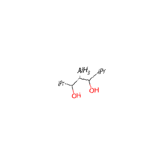 CC(C)C(O)[CH]C(O)C(C)C.[AlH3]